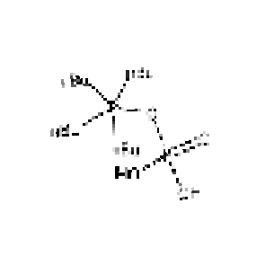 CCCCP(CCCC)(CCCC)(CCCC)OP(=O)(O)O